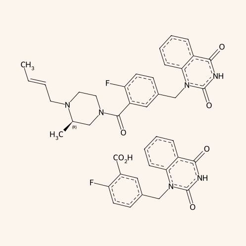 CC=CCN1CCN(C(=O)c2cc(Cn3c(=O)[nH]c(=O)c4ccccc43)ccc2F)C[C@H]1C.O=C(O)c1cc(Cn2c(=O)[nH]c(=O)c3ccccc32)ccc1F